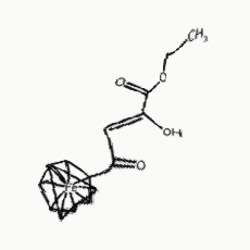 CCOC(=O)C(O)=CC(=O)[C]12[CH]3[CH]4[CH]5[CH]1[Fe]45321678[CH]2[CH]1[CH]6[CH]7[CH]28